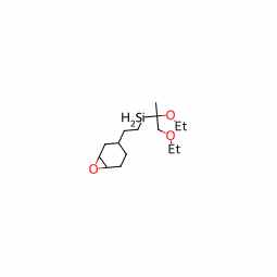 CCOCC(C)(OCC)[SiH2]CCC1CCC2OC2C1